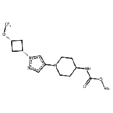 CC(C)(C)OC(=O)NC1CCN(c2cnn([C@H]3C[C@@H](OC(F)(F)F)C3)c2)CC1